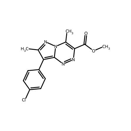 COC(=O)c1nnc2c(-c3ccc(Cl)cc3)c(C)nn2c1C